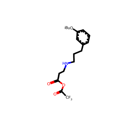 CC(C)COc1cccc(CCCNCCC(=O)OC(=O)C(F)(F)F)c1